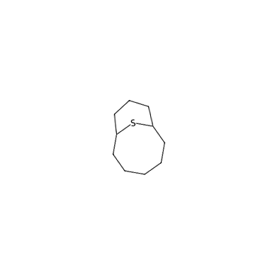 C1CCC2CCCC(CC1)S2